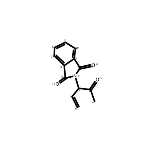 C=CC(C(C)=O)N1C(=O)c2ccccc2C1=O